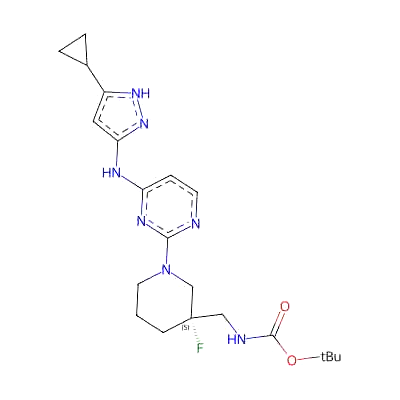 CC(C)(C)OC(=O)NC[C@@]1(F)CCCN(c2nccc(Nc3cc(C4CC4)[nH]n3)n2)C1